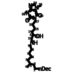 CCCCCCCCCCCCC(C)CCCCCNCC(O)CCCCn1c(=O)c2c(ncn2C)n(C)c1=O